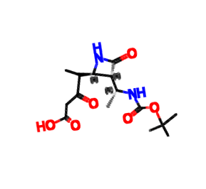 CC(C(=O)CC(=O)O)[C@H]1NC(=O)[C@@H]1[C@@H](C)NC(=O)OC(C)(C)C